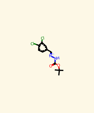 CC(C)(C)OC(=O)N/N=C/c1ccc(Cl)c(Cl)c1